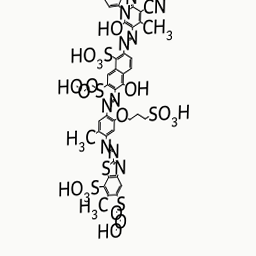 Cc1cc(N=Nc2c(SOOO)cc3c(S(=O)(=O)O)c(N=Nc4c(C)c(C#N)c5nc6ccccc6n5c4O)ccc3c2O)c(OCCCS(=O)(=O)O)cc1N=Nc1nc2cc(SOOO)c(C)c(S(=O)(=O)O)c2s1